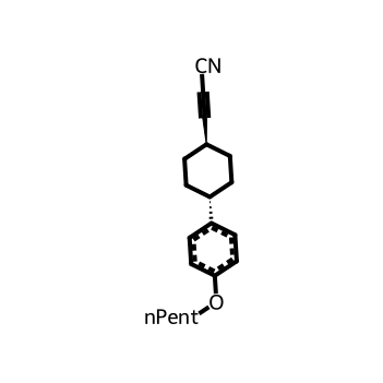 CCCCCOc1ccc([C@H]2CC[C@H](C#CC#N)CC2)cc1